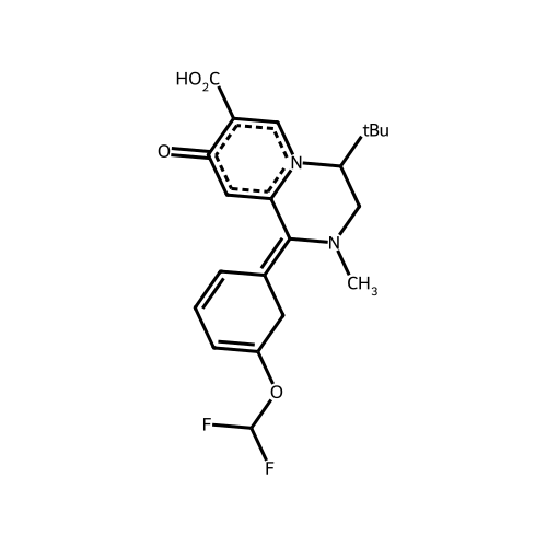 CN1CC(C(C)(C)C)n2cc(C(=O)O)c(=O)cc2/C1=C1\C=CC=C(OC(F)F)C1